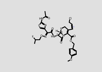 COc1ccc(COC(=O)C2=C(/C=C\CCl)CS[C@H]3[C@H](NC(=O)C(=NOCC(C)F)c4csc(NC(C)=O)n4)C(=O)N23)cc1